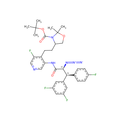 CC(C)(C)OC(=O)N1C(CCc2c(F)cncc2NC(=O)[C@@H](N=[N+]=[N-])[C@@H](c2ccc(F)cc2)c2cc(F)cc(F)c2)COC1(C)C